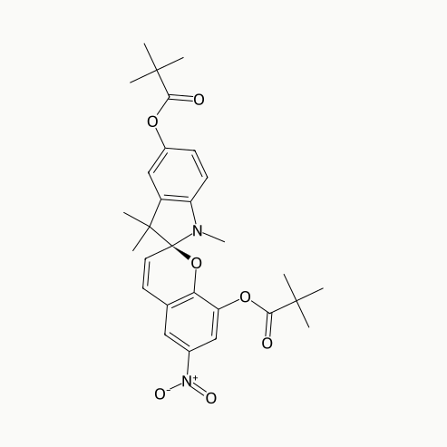 CN1c2ccc(OC(=O)C(C)(C)C)cc2C(C)(C)[C@@]12C=Cc1cc([N+](=O)[O-])cc(OC(=O)C(C)(C)C)c1O2